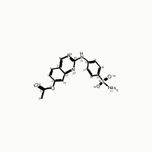 CC(=O)Oc1ccc2cnc(Nc3ccc(S(N)(=O)=O)cc3)nc2c1